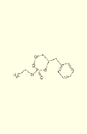 CCOP1(=O)OOCC(Cc2ccccc2)O1